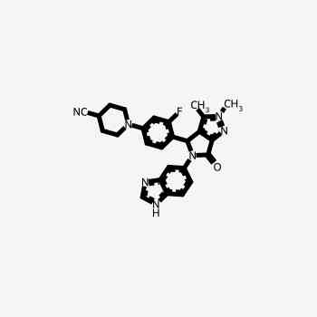 Cc1c2c(nn1C)C(=O)N(c1ccc3[nH]cnc3c1)C2c1ccc(N2CCC(C#N)CC2)cc1F